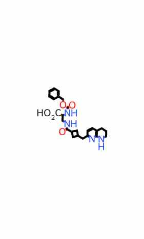 O=C(NC(CNC(=O)C1CC(Cc2ccc3c(n2)NCCC3)C1)C(=O)O)OCc1ccccc1